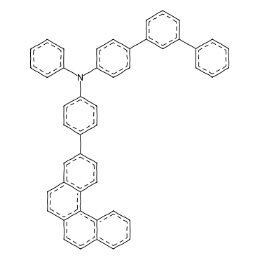 c1ccc(-c2cccc(-c3ccc(N(c4ccccc4)c4ccc(-c5ccc6c(ccc7ccc8ccccc8c76)c5)cc4)cc3)c2)cc1